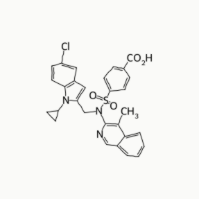 Cc1c(N(Cc2cc3cc(Cl)ccc3n2C2CC2)S(=O)(=O)c2ccc(C(=O)O)cc2)ncc2ccccc12